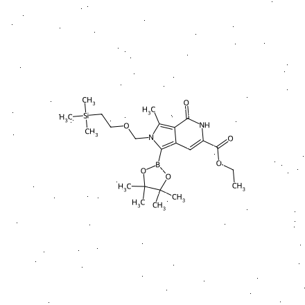 CCOC(=O)c1cc2c(B3OC(C)(C)C(C)(C)O3)n(COCC[Si](C)(C)C)c(C)c2c(=O)[nH]1